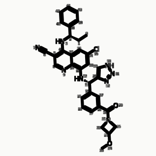 CC[C@@H](Nc1c(C#N)cnc2c(N[C@@H](c3cccc(C(=O)N4CC(OC)C4)c3)c3c[nH]nn3)cc(Cl)cc12)c1ccccc1